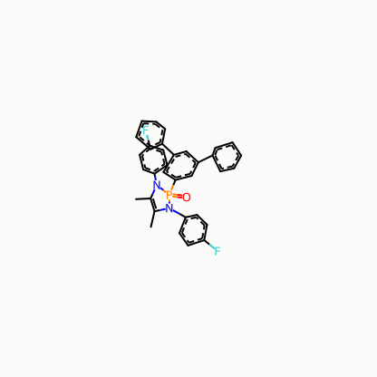 CC1=C(C)N(c2ccc(F)cc2)P(=O)(c2cc(-c3ccccc3)cc(-c3ccccc3)c2)N1c1ccc(F)cc1